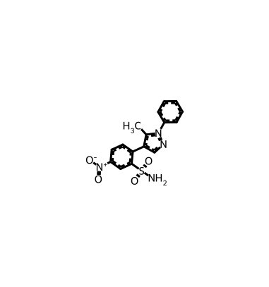 Cc1c(-c2ccc([N+](=O)[O-])cc2S(N)(=O)=O)cnn1-c1ccccc1